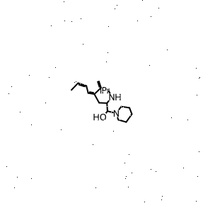 C=C/C(=C\C=C/C)CC(NC(C)C)C(O)N1CCCCC1